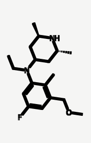 CCN(c1cc(F)cc(COC)c1C)C1C[C@@H](C)N[C@H](C)C1